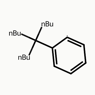 CCCCC(CCCC)(CCCC)c1[c]cccc1